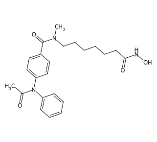 CC(=O)N(c1ccccc1)c1ccc(C(=O)N(C)CCCCCCC(=O)NO)cc1